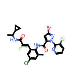 Cc1cc(Cl)cc(/C=C(\F)C(=O)NC(C)C2CC2)c1NC(=O)c1cc(Br)nn1-c1ncccc1Cl